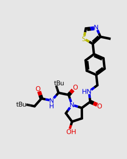 Cc1ncsc1-c1ccc(CNC(=O)C2CC(O)CN2C(=O)C(NC(=O)CC(C)(C)C)C(C)(C)C)cc1